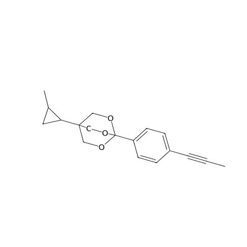 CC#Cc1ccc(C23OCC(C4CC4C)(CO2)CO3)cc1